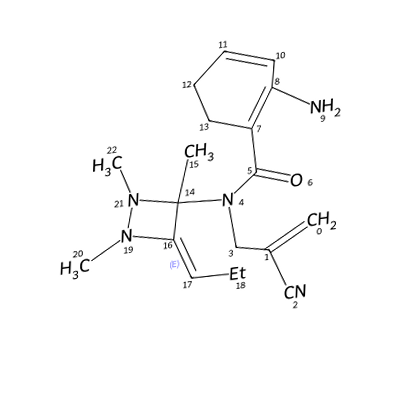 C=C(C#N)CN(C(=O)C1=C(N)C=CCC1)C1(C)/C(=C\CC)N(C)N1C